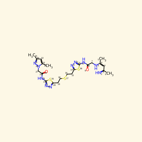 CC(=N)/C=C(/C)NCC(=O)Nc1nnc(CCSCCc2nnc(NC(=O)Cn3nc(C)cc3C)s2)s1